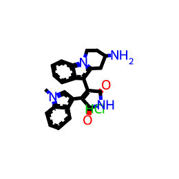 Cl.Cn1cc(C2=C(c3c4n(c5ccccc35)CCC(N)C4)C(=O)NC2=O)c2ccccc21